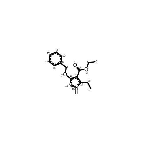 CCOC(=O)c1c(OCc2ccccc2)n[nH]c1CC